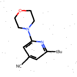 CC(C)(C)c1cc(C#N)cc(N2CCOCC2)n1